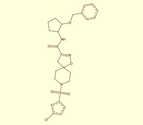 O=C(NC1CCCC1OCc1ccccc1)C1=NOC2(CCN(S(=O)(=O)c3ccc(Cl)s3)CC2)C1